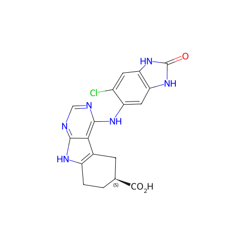 O=C(O)[C@H]1CCc2[nH]c3ncnc(Nc4cc5[nH]c(=O)[nH]c5cc4Cl)c3c2C1